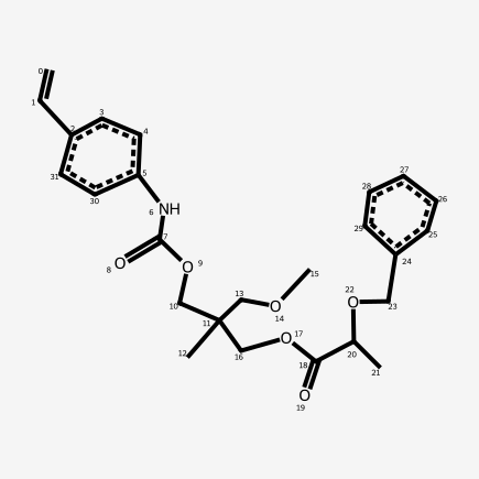 C=Cc1ccc(NC(=O)OCC(C)(COC)COC(=O)C(C)OCc2ccccc2)cc1